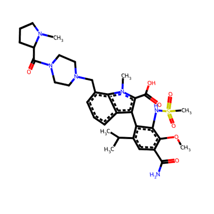 COc1c(C(N)=O)cc(C(C)C)c(-c2c(C(=O)O)n(C)c3c(CN4CCN(C(=O)C5CCCN5C)CC4)cccc23)c1NS(C)(=O)=O